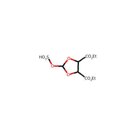 CCOC(=O)C1OC(OS(=O)(=O)O)OC1C(=O)OCC